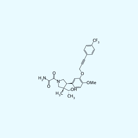 COc1ccc([C@@H]2CN(C(=O)C(N)=O)C[C@@]2(C)[C@@H](C)O)cc1OCC#Cc1ccc(C(F)(F)F)cc1